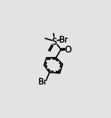 C=S(C)(C)(Br)C(=O)c1ccc(Br)cc1